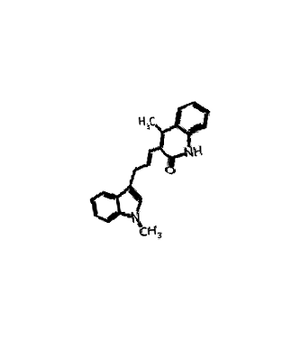 Cc1c(/C=C/Cc2cn(C)c3ccccc23)c(=O)[nH]c2ccccc12